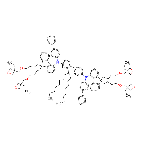 CCCCCCCCC1(CCCCCCCC)c2cc(N(c3ccc(-c4ccccc4)cc3)c3cccc4c3-c3ccccc3C4(CCCCOCC3(CC)COC3)CCCCOCC3(CC)COC3)ccc2-c2ccc(N(c3ccc(-c4ccccc4)cc3)c3cccc4c3-c3ccccc3C4(CCCCOCC3(CC)COC3)CCCCOCC3(CC)COC3)cc21